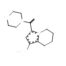 O=C(O)c1cc(C(=O)N2CCOCC2)n2c1CCCC2